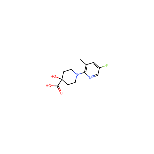 Cc1cc(F)cnc1N1CCC(O)(C(=O)O)CC1